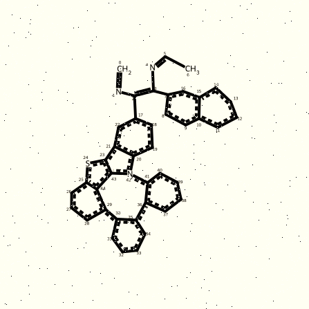 C=N/C(=C(\N=C/C)c1ccc2ccccc2c1)c1ccc2c(c1)c1sc3cccc4c5ccccc5c5ccccc5n2c1c34